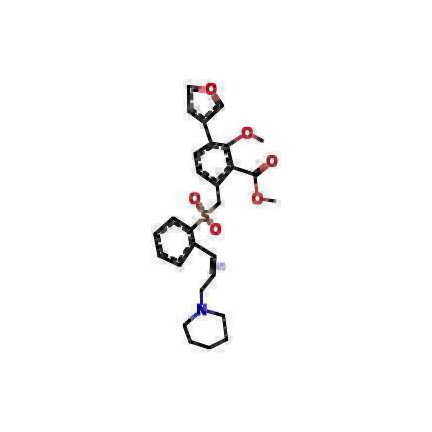 COC(=O)c1c(CS(=O)(=O)c2ccccc2/C=C\CN2CCCCC2)ccc(-c2ccoc2)c1OC